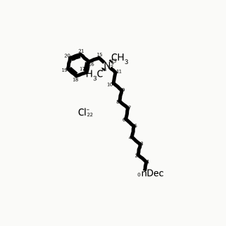 CCCCCCCCCCCCCCCCCCCCC[N+](C)(C)Cc1ccccc1.[Cl-]